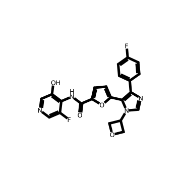 O=C(Nc1c(O)cncc1F)c1ccc(-c2c(-c3ccc(F)cc3)ncn2C2COC2)o1